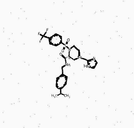 CC(C)c1ccc(CNC(=O)[C@H]2CN(c3ncc[nH]3)CCN2S(=O)(=O)c2ccc(C(F)(F)F)cc2)cc1